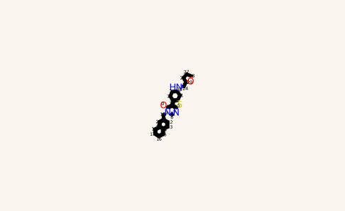 O=c1c2c3c(sc2ncn1Cc1ccc2ccccc2c1)CC(NCC1CCCO1)CC3